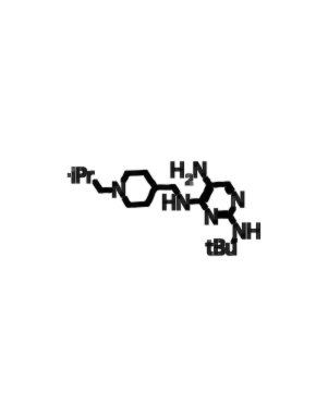 C[C](C)CN1CCC(CNc2nc(NC(C)(C)C)ncc2N)CC1